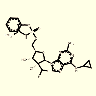 CCOC(=O)[C@@H](C)N[P@@](=O)(OC[C@H]1O[C@@H](n2cnc3c(NC4CC4)nc(N)nc32)[C@@](Cl)(C(F)F)[C@@H]1O)Oc1ccccc1